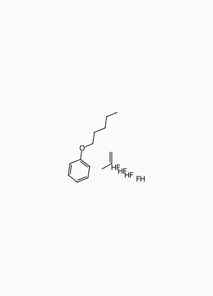 C=CC.CCCCCOc1ccccc1.F.F.F.F